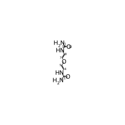 NC(=O)NC=COC=CNC(N)=O